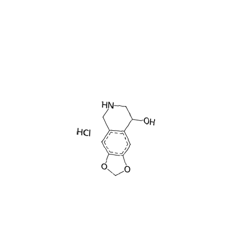 Cl.OC1CNCc2cc3c(cc21)OCO3